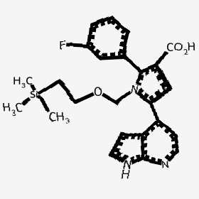 C[Si](C)(C)CCOCn1c(-c2ccnc3[nH]ccc23)cc(C(=O)O)c1-c1cccc(F)c1